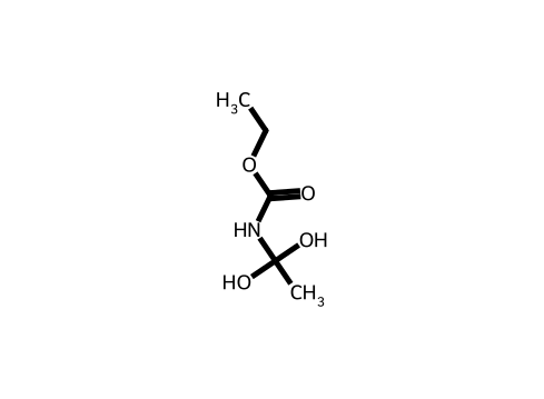 CCOC(=O)NC(C)(O)O